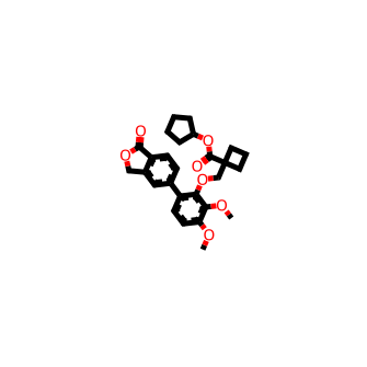 COc1ccc(-c2ccc3c(c2)COC3=O)c(OCC2(C(=O)OC3CCCC3)CCC2)c1OC